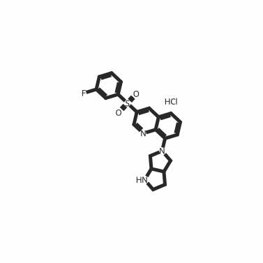 Cl.O=S(=O)(c1cccc(F)c1)c1cnc2c(N3CC4CCNC4C3)cccc2c1